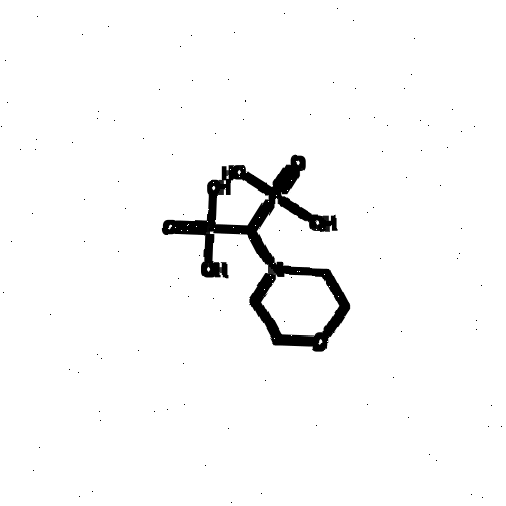 O=P(O)(O)C(N1CCOCC1)P(=O)(O)O